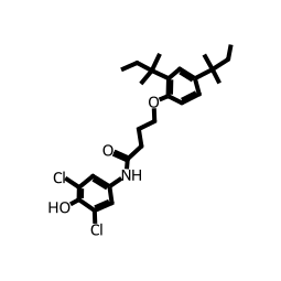 CCC(C)(C)c1ccc(OCCCC(=O)Nc2cc(Cl)c(O)c(Cl)c2)c(C(C)(C)CC)c1